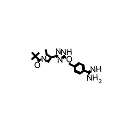 CC1C(c2n[nH]c(OCc3ccc(C(=N)N)cc3)n2)CN1C(=O)C(C)(C)C